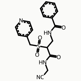 N#CCNC(=O)C(CNC(=O)c1ccccc1)S(=O)(=O)Cc1ccncc1